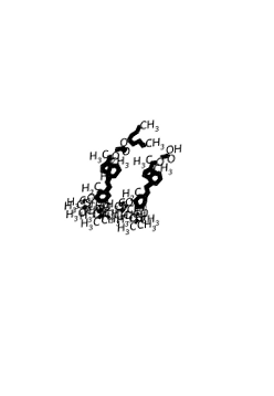 C=C1C(=CC=C2CCC[C@]3(C)C([C@H](C)OCC(=O)O)=CCC23)C[C@@H](O[Si](C)(C)C(C)(C)C)C[C@@H]1O[Si](C)(C)C(C)(C)C.C=C1C(=CC=C2CCC[C@]3(C)C([C@H](C)OCC(=O)OC(CCCC)CCCC)=CC[C@@H]23)C[C@@H](O[Si](C)(C)C(C)(C)C)C[C@@H]1O[Si](C)(C)C(C)(C)C